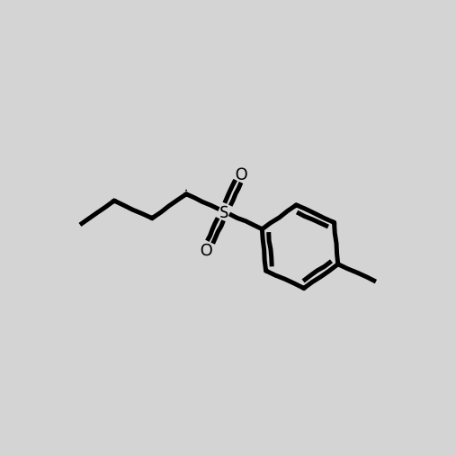 CCC[CH]S(=O)(=O)c1ccc(C)cc1